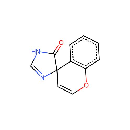 O=C1NC=NC12C=COc1ccccc12